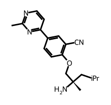 Cc1nccc(-c2ccc(OC[C@@](C)(N)CC(C)C)c(C#N)c2)n1